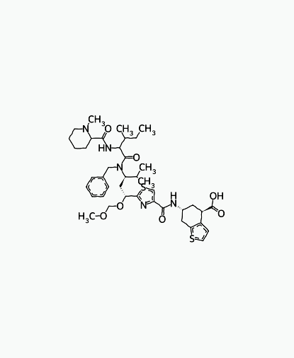 CCC(C)C(NC(=O)C1CCCCN1C)C(=O)N(Cc1ccccc1)[C@H](C[C@@H](OCOC)c1nc(C(=O)N[C@H]2Cc3sccc3[C@H](C(=O)O)C2)cs1)C(C)C